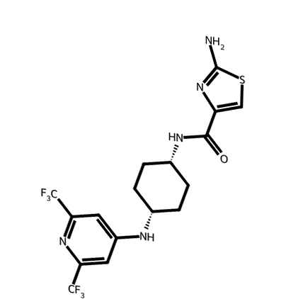 Nc1nc(C(=O)N[C@H]2CC[C@@H](Nc3cc(C(F)(F)F)nc(C(F)(F)F)c3)CC2)cs1